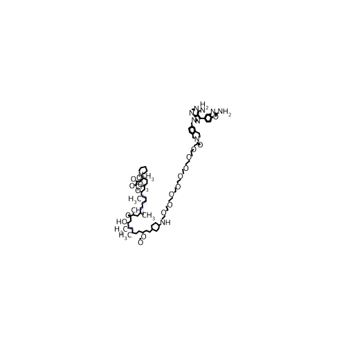 COC(CC1CC[C@@H](C)[C@](ON2CCCCC2)(C(=O)C=O)O1)/C(C)=C/C=C/C=C/C(C)CC(C)C(=O)CC(O)/C(C)=C/C(C)CCC(CCC1CCC(NCCOCCOCCOCCOCCOCCOCCOCCOCC(=O)N2CCc3cc(Cn4nc(-c5ccc6oc(N)nc6c5)c5c(N)ncnc54)ccc3C2)CC1)OC=O